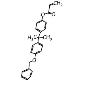 C=CC(=O)Oc1ccc(C(C)(C)c2ccc(OCc3ccccc3)cc2)cc1